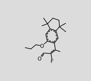 CCCOc1cc2c(cc1/C(C)=C(/F)C=O)C(C)(C)CCC2(C)C